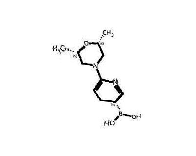 C[C@@H]1CN(C2=CC[C@@H](B(O)O)C=N2)C[C@H](C)O1